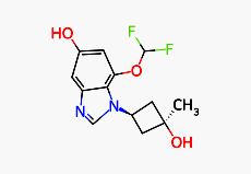 C[C@]1(O)C[C@@H](n2cnc3cc(O)cc(OC(F)F)c32)C1